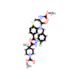 CC(C)(C)OC(=O)N[C@H]1CSc2ccc(-c3nnc(C4(C#N)CCN(C(=O)OC(C)(C)C)CC4)o3)cc2N(Cc2ccc(Cl)cc2)C1=O